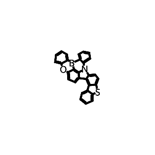 c1ccc2c(c1)Oc1ccc3c4c5c(ccc4n4c3c1B2c1ccccc1-4)sc1ccccc15